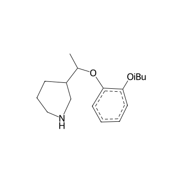 CC(C)COc1ccccc1OC(C)C1CCCNC1